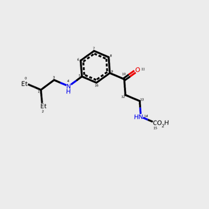 CCC(CC)CNc1cccc(C(=O)CCNC(=O)O)c1